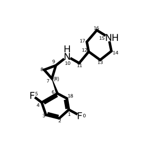 Fc1ccc(F)c([C@H]2CC2NCC2CCNCC2)c1